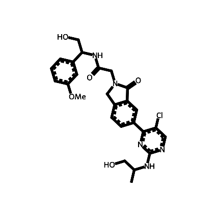 COc1cccc(C(CO)NC(=O)CN2Cc3ccc(-c4nc(NC(C)CO)ncc4Cl)cc3C2=O)c1